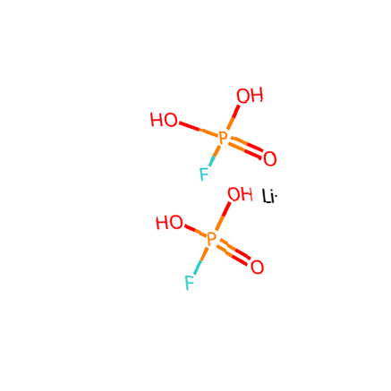 O=P(O)(O)F.O=P(O)(O)F.[Li]